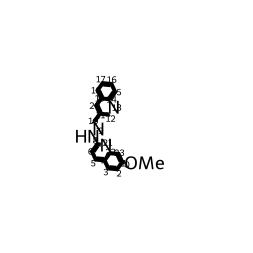 COc1ccc2ccc(NN=Cc3cnc4ccccc4c3)nc2c1